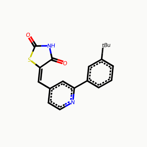 CC(C)(C)c1cccc(-c2cc(C=C3SC(=O)NC3=O)ccn2)c1